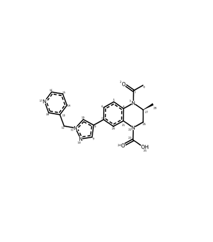 CC(=O)N1c2ccc(-c3cnn(Cc4cccnc4)c3)cc2N(C(=O)O)C[C@@H]1C